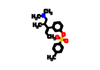 C/C=C(\c1cccc(OS(=O)(=O)c2ccc(C)cc2)c1)C(C)CN(C)C